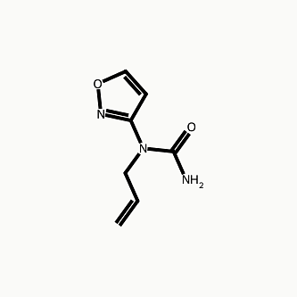 C=CCN(C(N)=O)c1ccon1